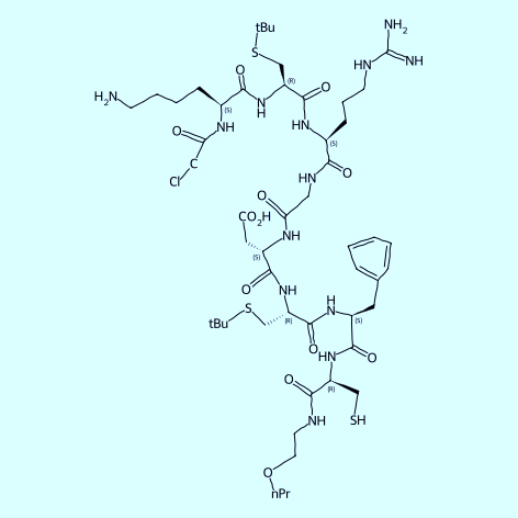 CCCOCCNC(=O)[C@H](CS)NC(=O)[C@H](Cc1ccccc1)NC(=O)[C@H](CSC(C)(C)C)NC(=O)[C@H](CC(=O)O)NC(=O)CNC(=O)[C@H](CCCNC(=N)N)NC(=O)[C@H](CSC(C)(C)C)NC(=O)[C@H](CCCCN)NC(=O)CCl